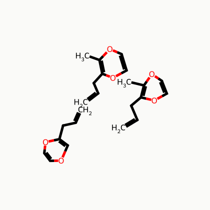 C=CCC1=C(C)OC=CO1.C=CCC1=C(C)OC=CO1.C=CCC1=COC=CO1